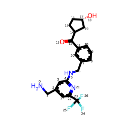 NCc1cc(NCc2cccc(C(=O)C3CC[C@H](O)C3)c2)nc(C(F)(F)F)c1